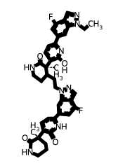 CCn1ncc2c(F)cc(-c3ccc([C@]4(C)C(=O)NCCC4CCn4ncc5c(F)cc(-c6ccc([C@@]7(C)CCCNC7=O)c(=O)[nH]6)cc54)c(O)n3)cc21